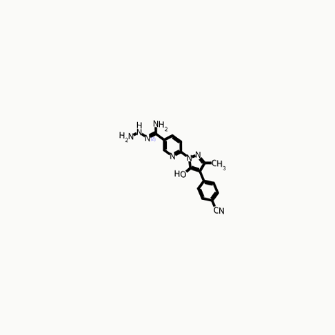 Cc1nn(-c2ccc(/C(N)=N/NN)cn2)c(O)c1-c1ccc(C#N)cc1